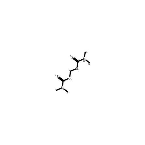 CN(C)C(=S)SCSC(=S)N(C)C